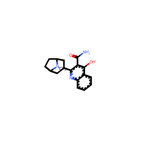 CN1C2CCC1CC(c1nc3ccccc3c(O)c1C(N)=O)C2